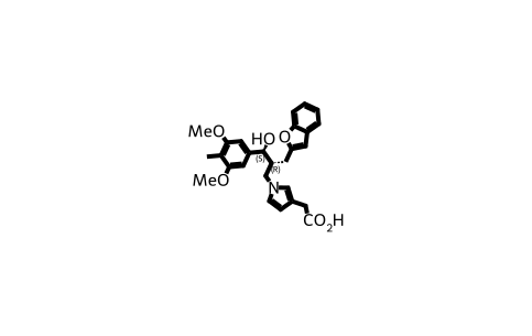 COc1cc([C@@H](O)[C@H](Cc2cc3ccccc3o2)Cn2ccc(CC(=O)O)c2)cc(OC)c1C